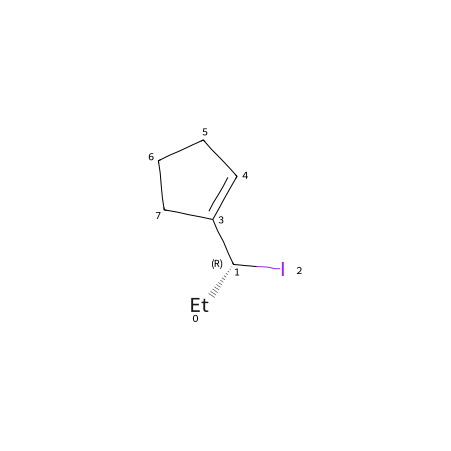 CC[C@@H](I)C1=CCCC1